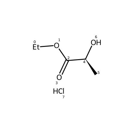 CCOC(=O)[C@H](C)O.Cl